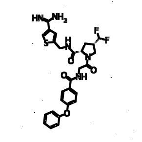 N=C(N)c1csc(CNC(=O)[C@@H]2C[C@H](C(F)F)CN2C(=O)CNC(=O)c2ccc(Oc3ccccc3)cc2)c1